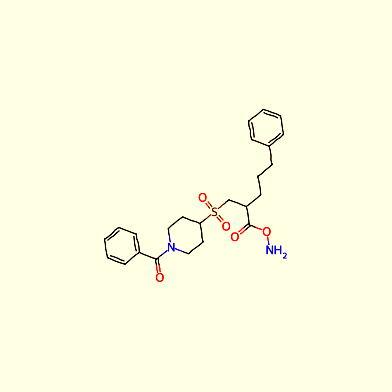 NOC(=O)C(CCCc1ccccc1)CS(=O)(=O)C1CCN(C(=O)c2ccccc2)CC1